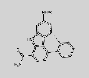 CC(=O)Nc1ccc2c(c1)[nH]c1c(C(N)=O)ccc(-c3ccccc3F)c12